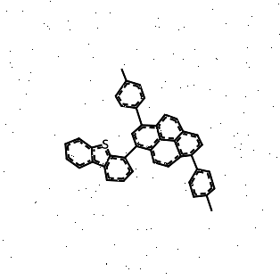 Cc1ccc(-c2ccc3ccc4c(-c5ccc(C)cc5)cc(-c5cccc6c5sc5ccccc56)c5ccc2c3c45)cc1